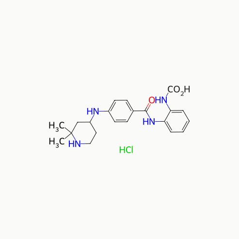 CC1(C)CC(Nc2ccc(C(=O)Nc3ccccc3NC(=O)O)cc2)CCN1.Cl